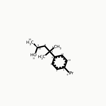 CC(C)c1ccc(C(C)(C)C[C@H](C)O)cc1